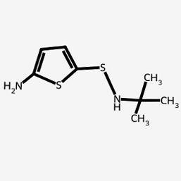 CC(C)(C)NSc1ccc(N)s1